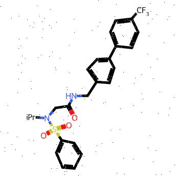 CC(C)N(CC(=O)NCc1ccc(-c2ccc(C(F)(F)F)cc2)cc1)S(=O)(=O)c1ccccc1